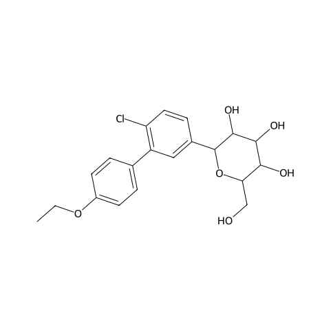 CCOc1ccc(-c2cc(C3OC(CO)C(O)C(O)C3O)ccc2Cl)cc1